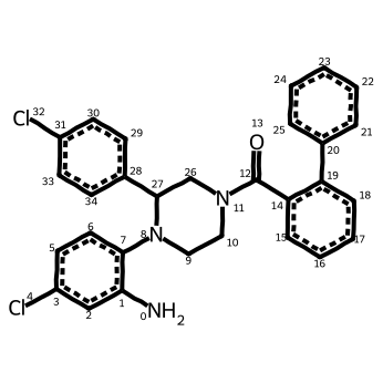 Nc1cc(Cl)ccc1N1CCN(C(=O)c2ccccc2-c2ccccc2)CC1c1ccc(Cl)cc1